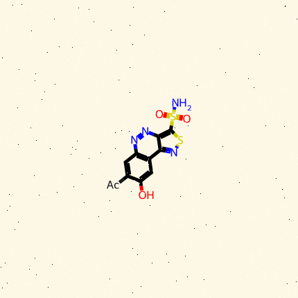 CC(=O)c1cc2nnc3c(S(N)(=O)=O)snc3c2cc1O